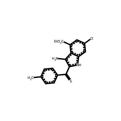 CCOC(=O)c1cc(Cl)cc2[nH]c(C(=S)c3ccc(C)cc3)c(N)c12